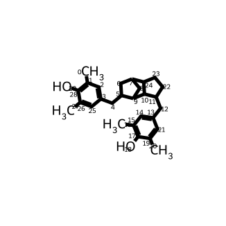 Cc1cc(CC2CC3CC2C2C(Cc4cc(C)c(O)c(C)c4)CCC32)cc(C)c1O